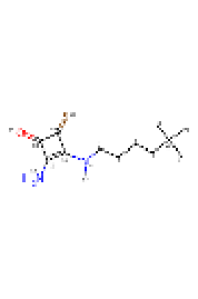 CN(CCCCC(C)(C)C)c1c(N)c(=O)c1=S